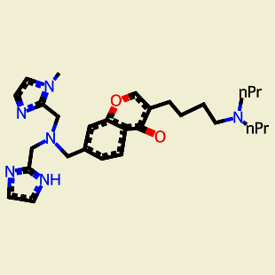 CCCN(CCC)CCCCc1coc2cc(CN(Cc3ncc[nH]3)Cc3nccn3C)ccc2c1=O